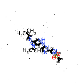 C=C(C)C1CN(c2nn(C(C)C)c3cc(Nc4ccnc(-c5cnn(S(=O)(=O)C6CC6)c5)n4)ncc23)C1